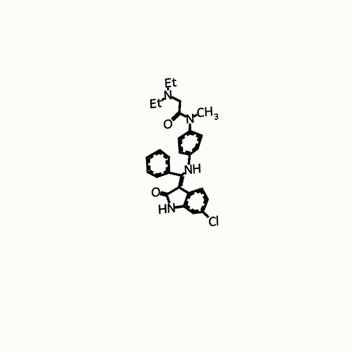 CCN(CC)CC(=O)N(C)c1ccc(NC(=C2C(=O)Nc3cc(Cl)ccc32)c2ccccc2)cc1